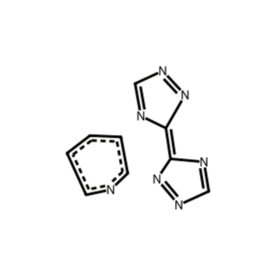 C1=NC(=C2N=CN=N2)N=N1.c1ccncc1